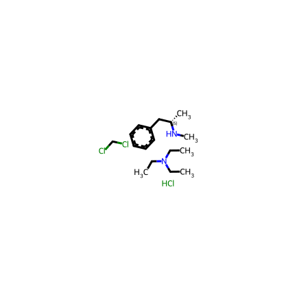 CCN(CC)CC.CN[C@@H](C)Cc1ccccc1.Cl.ClCCl